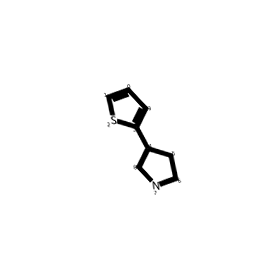 c1csc(C2CC[N]C2)c1